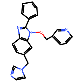 c1ccc(-c2nc3ccc(Cn4ccnc4)cc3n2OCc2cccnc2)cc1